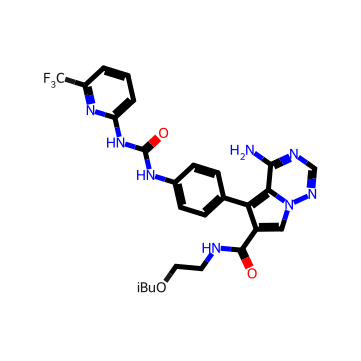 CC(C)COCCNC(=O)c1cn2ncnc(N)c2c1-c1ccc(NC(=O)Nc2cccc(C(F)(F)F)n2)cc1